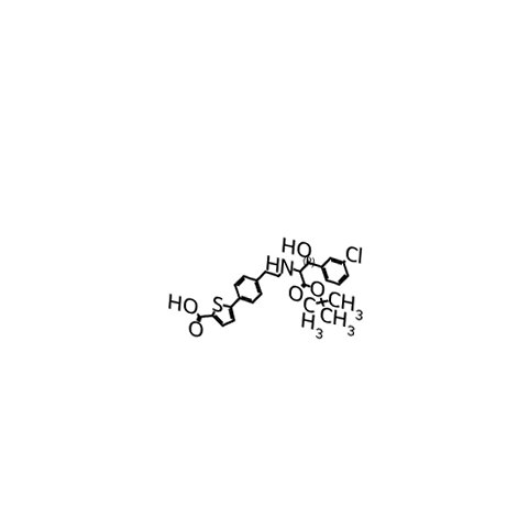 CC(C)(C)OC(=O)C(NCCc1ccc(-c2ccc(C(=O)O)s2)cc1)[C@H](O)c1cccc(Cl)c1